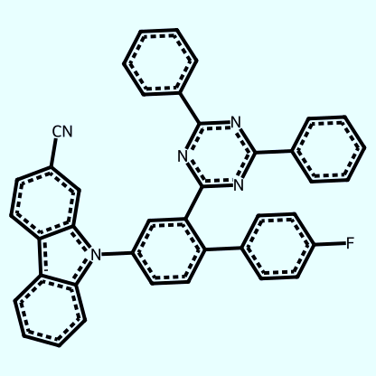 N#Cc1ccc2c3ccccc3n(-c3ccc(-c4ccc(F)cc4)c(-c4nc(-c5ccccc5)nc(-c5ccccc5)n4)c3)c2c1